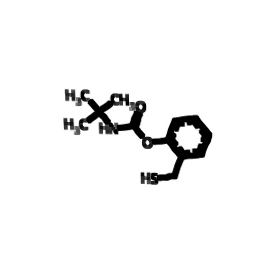 CC(C)(C)NC(=O)Oc1ccccc1CS